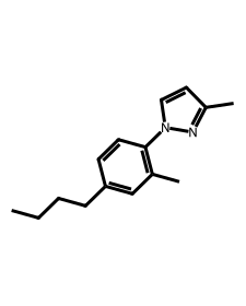 CCCCc1ccc(-n2ccc(C)n2)c(C)c1